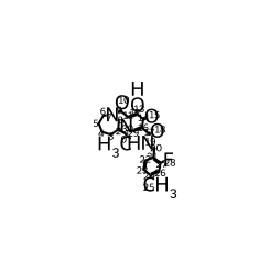 CCC12CCCCN(C1)C(=O)c1c(O)c(=O)c(C(=O)NCc3ccc(C)cc3F)cn12